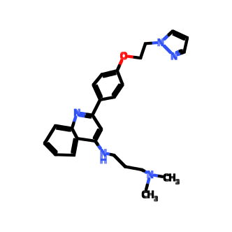 CN(C)CCCNc1cc(-c2ccc(OCCn3cccn3)cc2)nc2ccccc12